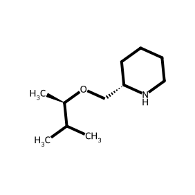 CC(C)[C@@H](C)OC[C@@H]1CCCCN1